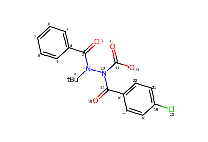 CC(C)(C)N(C(=O)c1ccccc1)N(C([O])=O)C(=O)c1ccc(Cl)cc1